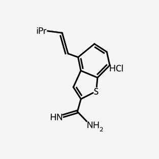 CC(C)C=Cc1cccc2sc(C(=N)N)cc12.Cl